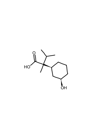 CC(C)C(C)(C(=O)O)[C@H]1CCC[C@@H](O)C1